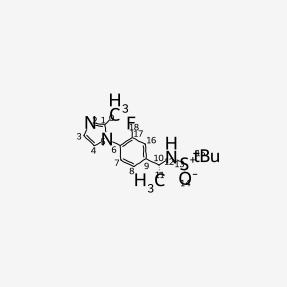 Cc1nccn1-c1ccc([C@@H](C)N[S+]([O-])C(C)(C)C)cc1F